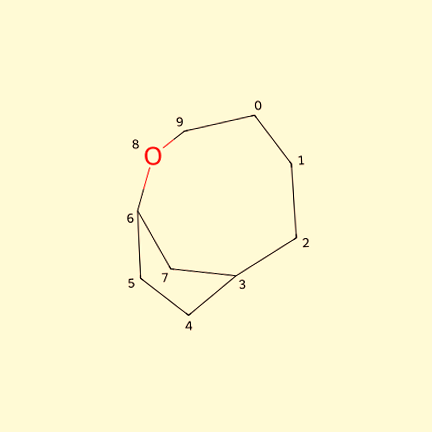 C1CCC2CCC(C2)OC1